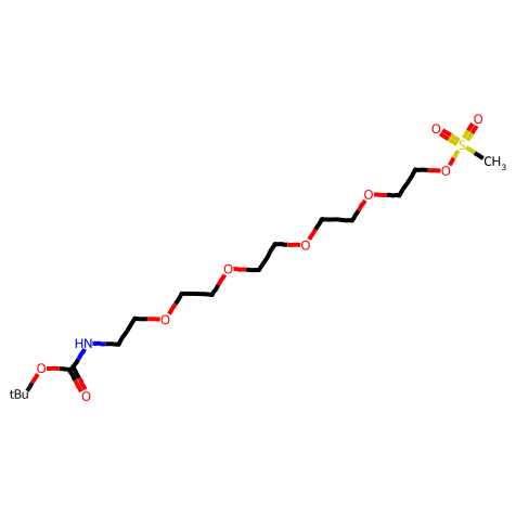 CC(C)(C)OC(=O)NCCOCCOCCOCCOCCOS(C)(=O)=O